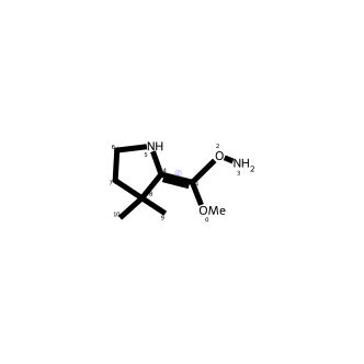 CO/C(ON)=C1/NCCC1(C)C